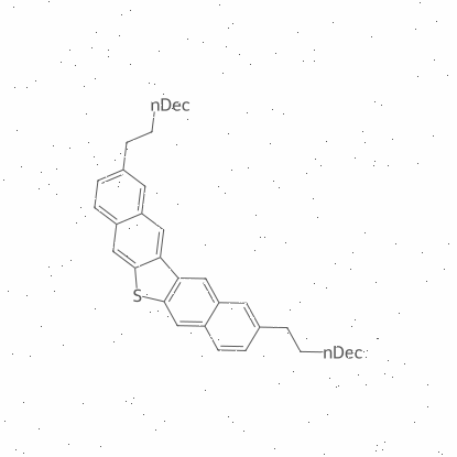 CCCCCCCCCCCCc1ccc2cc3sc4cc5ccc(CCCCCCCCCCCC)cc5cc4c3cc2c1